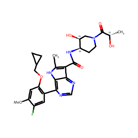 COc1cc(OCC2CC2)c(-c2ncnc3c(C(=O)N[C@@H]4CCN(C(=O)[C@H](C)O)C[C@@H]4O)c(C)[nH]c23)cc1F